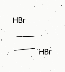 Br.Br.CC.CC